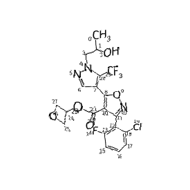 CC(O)Cn1ncc(-c2onc(-c3c(F)cccc3Cl)c2C(=O)OC2COC2)c1C(F)(F)F